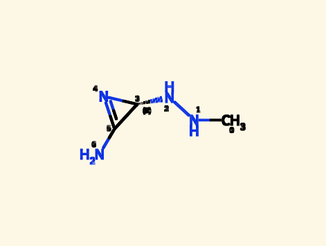 CNN[C@H]1N=C1N